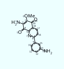 COC1=C(N)C(=O)c2nc(-c3cccc(N)c3)ccc2C1=O